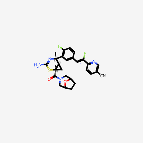 C[C@]1(c2cc(/C=C(\F)c3ccc(C#N)cn3)ccc2F)N=C(N)S[C@@]2(C(=O)N3CC4CCC(C3)O4)C[C@H]21